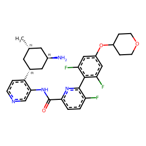 C[C@@H]1C[C@@H](N)C[C@H](c2ccncc2NC(=O)c2ccc(F)c(-c3c(F)cc(OC4CCOCC4)cc3F)n2)C1